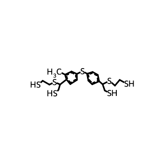 Cc1cc(Sc2ccc(C(CS)SCCS)cc2)ccc1C(CS)SCCS